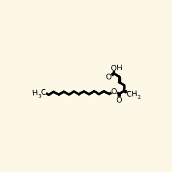 C=C(CC=CC(=O)O)C(=O)OCCCCCCCCCCCCCC